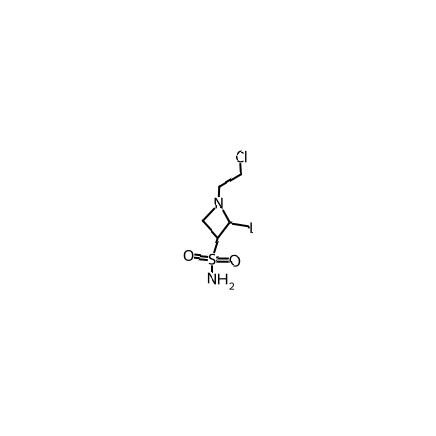 NS(=O)(=O)C1CN(CCCl)C1I